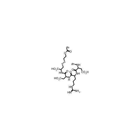 CC(C)NC(CC(=O)O)C(=O)NC(CCCNC(=N)N)C(=O)NC(CC(=O)O)C(=O)NC(CSSCCOC(=O)C(C)C)C(=O)O